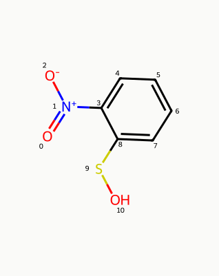 O=[N+]([O-])c1ccccc1SO